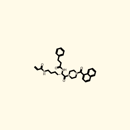 C=CC(=O)NCCCC[C@H](NC(=O)CCc1ccccc1)C(=O)N1CCN(C(=O)c2cccc3ccccc23)CC1